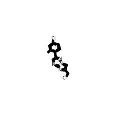 Cc1cc(Cl)ccc1-c1cnc2nc(CCl)cn2n1